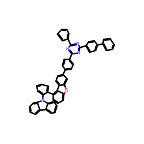 c1ccc(-c2ccc(-c3nc(-c4ccccc4)nc(-c4ccc(-c5ccc6c(c5)oc5cccc(-c7ccccc7-n7c8ccccc8c8ccccc87)c56)cc4)n3)cc2)cc1